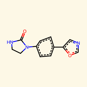 O=C1NCCN1c1ccc(-c2cnco2)cc1